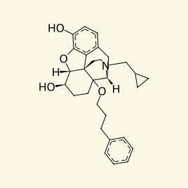 Oc1ccc2c3c1O[C@H]1[C@H](O)CCC4(OCCCc5ccccc5)[C@@H](C2)N(CC2CC2)CC[C@]314